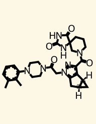 Cc1cccc(N2CCN(C(=O)Cn3nc(C(=O)N4CCCC5(C4)NC(=O)NC5=O)c4c3C[C@H]3C[C@@H]43)CC2)c1C